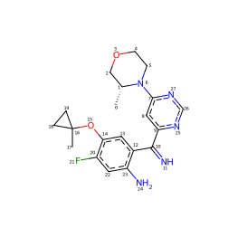 C[C@@H]1COCCN1c1cc(C(=N)c2cc(OC3(C)CC3)c(F)cc2N)ncn1